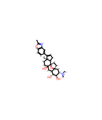 Cc1nc2cc(C3=CCC4[C@@]56CC[C@]7(C[C@H](N(C)C)[C@@H](O)[C@H](O)C7CC5(O)CC[C@]34C)O6)ccc2o1